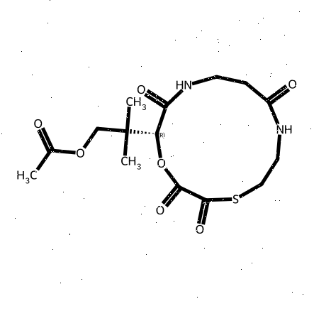 CC(=O)OCC(C)(C)[C@H]1OC(=O)C(=O)SCCNC(=O)CCNC1=O